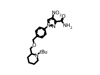 CC(C)(C)N1CCCCC1COCc1ccc(-n2cc([N+](=O)[O-])c(C(N)=O)n2)cc1